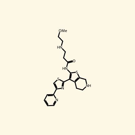 COCCNCCC(=O)Nc1sc2c(c1-c1nc(-c3ccccn3)cs1)CCNC2